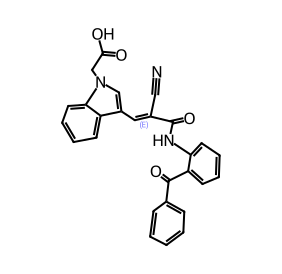 N#C/C(=C\c1cn(CC(=O)O)c2ccccc12)C(=O)Nc1ccccc1C(=O)c1ccccc1